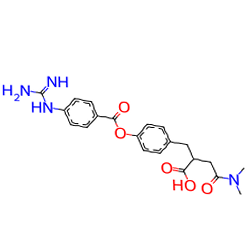 CN(C)C(=O)CC(Cc1ccc(OC(=O)c2ccc(NC(=N)N)cc2)cc1)C(=O)O